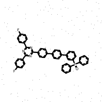 O=P(c1ccccc1)(c1ccccc1)c1cccc(-c2ccc(-c3ccc(-c4nc(-c5ccc(F)cc5)nc(-c5ccc(F)cc5)n4)cc3)cc2)c1